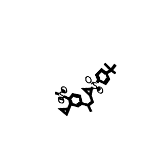 CC(CC1CC1S(=O)(=O)c1ccc(C(C)(C)C)cc1)c1ccc(S(C)(=O)=O)c(C2CC2)c1